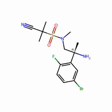 CN(C[C@](C)(N)c1cc(Br)ccc1F)S(=O)(=O)C(C)(C)C#N